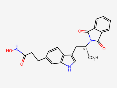 O=C(CCc1ccc2c(C[C@@H](C(=O)O)N3C(=O)c4ccccc4C3=O)c[nH]c2c1)NO